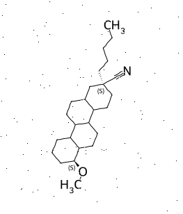 CCCCC[C@]1(C#N)CCC2C(CCC3C2CCC2C3CCC[C@@H]2OC)C1